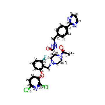 CC(C)C(=O)N1[C@H](C)CN(Cc2c(F)cccc2Oc2ccc(Cl)nc2Cl)C[C@@H]1C(=O)NCc1ccc(-c2ncccn2)cc1